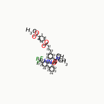 COC(=O)c1ccc(OC(=O)CCCc2ccc(NC(=O)c3ccccc3-c3ccc(C(F)(F)F)cc3)c(C(=O)N(C)C)c2)cc1